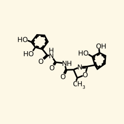 CC1OC(c2cccc(O)c2O)=NC1C(=O)NC(=O)NC(=O)c1cccc(O)c1O